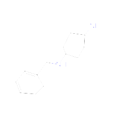 [NH]C1CCC(NCc2ccccc2)CC1